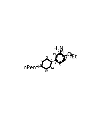 CCCCC[C@H]1CC[C@H](c2ccc(OCC)c(N)c2)CC1